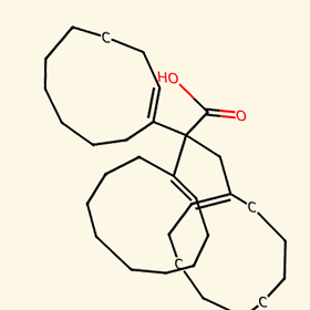 O=C(O)C(C/C1=C/CCCCCCCC1)(/C1=C/CCCCCCCC1)/C1=C/CCCCCCCC1